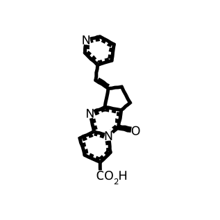 O=C(O)c1ccc2nc3c(c(=O)n2c1)CCC3=Cc1cccnc1